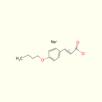 CCCCOc1ccc(/C=C/C(=O)[O-])cc1.[Na+]